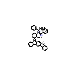 N/C(=N\C(=N/Cc1ccccc1-n1c2ccccc2c2cc3c(cc21)sc1ccccc13)c1ccccc1)c1ccccc1